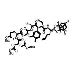 C=CCC[C@H](NC(=O)[C@H](CC(C)C)NC(=O)[C@@H](NC(=O)[C@H](Cc1ccccc1C)NC(=O)[C@H](CCC(=O)OC(C)(C)C)NC(=O)[C@H](CC(=O)OC(C)(C)C)NC(=O)OC(C)(C)C)C(C)(C)C)B1O[C@@H]2C[C@@H]3C[C@@H](C3(C)C)[C@]2(C)O1